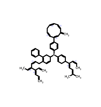 C=C/C=C(C=C)/C(/C=C\CC1=C(c2ccccc2)CC(N(C2=CCC(C(/C=C\C)=C/C=C(C)C)C=C2)c2ccc(C3=C/C(=C)/C=C\C=C/C/C=C\3)cc2)C=C1)=C/C